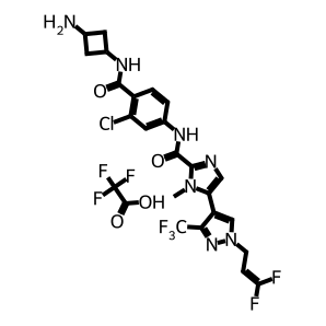 Cn1c(-c2cn(CC=C(F)F)nc2C(F)(F)F)cnc1C(=O)Nc1ccc(C(=O)NC2CC(N)C2)c(Cl)c1.O=C(O)C(F)(F)F